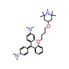 CN(C)c1ccc(C(=C2C=CC(=[N+](C)C)C=C2)c2ccccc2OCCCCOC2CC(C)(C)N(C)C(C)(C)C2)cc1